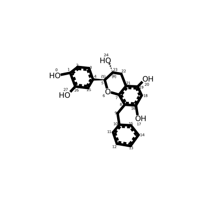 Oc1ccc([C@@H]2Oc3c(Cc4ccccc4)c(O)cc(O)c3C[C@H]2O)cc1O